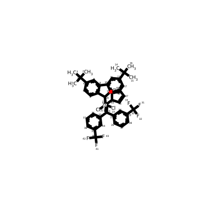 CC(C)(C)c1ccc2c(c1)-c1cc(C(C)(C)C)ccc1[CH]2[Zr]([Cl])([Cl])(=[C](c1cccc(C(F)(F)F)c1)c1cccc(C(F)(F)F)c1)[CH]1C=CC=C1